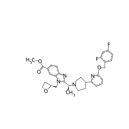 COC(=O)c1ccc2nc([C@H](C)N3CCC(c4cccc(OCc5ccc(F)cc5F)n4)CC3)n(C[C@@H]3CCO3)c2c1